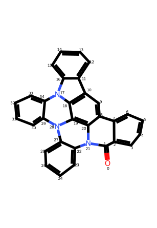 O=c1c2ccccc2c2cc3c4ccccc4n4c3c3c2n1-c1ccccc1N3c1ccccc1-4